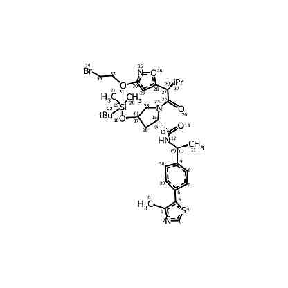 Cc1ncsc1-c1ccc([C@H](C)NC(=O)[C@@H]2C[C@@H](O[Si](C)(C)C(C)(C)C)CN2C(=O)[C@@H](c2cc(OCCBr)no2)C(C)C)cc1